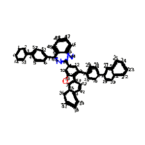 c1ccc(-c2ccc(-c3nc(-c4cc(-c5ccc(-c6ccc7ccccc7c6)cc5)c5c(c4)oc4c6ccccc6ccc45)nc4ccccc34)cc2)cc1